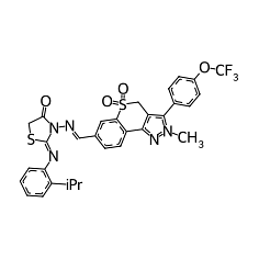 CC(C)c1ccccc1N=C1SCC(=O)N1N=Cc1ccc2c(c1)S(=O)(=O)Cc1c-2nn(C)c1-c1ccc(OC(F)(F)F)cc1